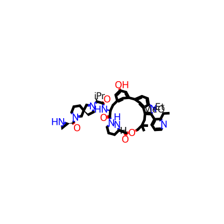 CCn1c(-c2cccnc2[C@H](C)OC)c2c3cc(ccc31)-c1cc(O)cc(c1)C[C@H](NC(=O)[C@H](C(C)C)N1CC[C@@]3(CCCN(C(=O)[C@@H]4CN4)C3)C1)C(=O)N1CCC[C@H](N1)C(=O)OCC(C)(C)C2